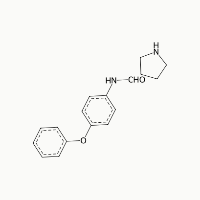 C1CCNC1.O=CNc1ccc(Oc2ccccc2)cc1